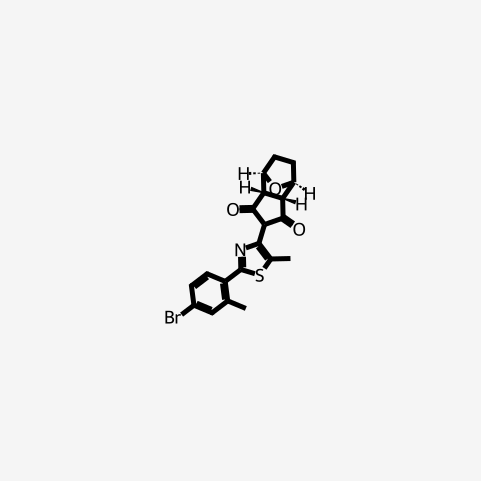 Cc1cc(Br)ccc1-c1nc(C2C(=O)[C@@H]3[C@H](C2=O)[C@H]2CC[C@@H]3O2)c(C)s1